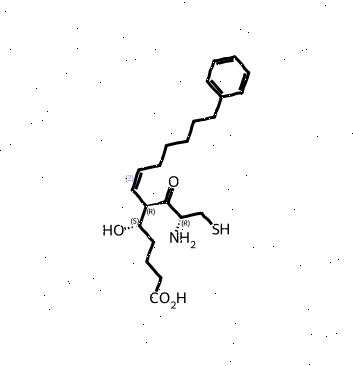 N[C@@H](CS)C(=O)[C@H](/C=C\CCCCCc1ccccc1)[C@@H](O)CCCC(=O)O